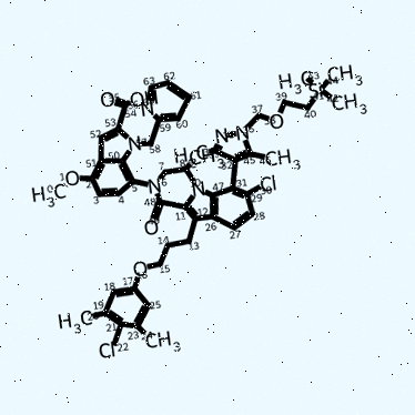 COc1ccc(N2CC(C)n3c(c(CCCOc4cc(C)c(Cl)c(C)c4)c4ccc(Cl)c(-c5c(C)nn(COCC[Si](C)(C)C)c5C)c43)C2=O)c2c1cc(C(=O)O)n2Cc1ccccn1